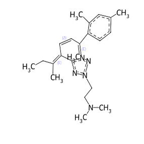 C\C=C(/C=C\C(=C(\C)CC)c1nnn(CCN(C)C)n1)c1ccc(C)cc1C